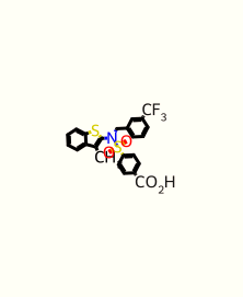 Cc1c(N(Cc2cccc(C(F)(F)F)c2)S(=O)(=O)c2ccc(C(=O)O)cc2)sc2ccccc12